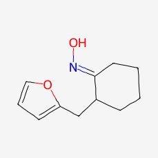 ON=C1CCCCC1Cc1ccco1